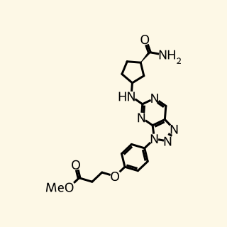 COC(=O)CCOc1ccc(-n2nnc3cnc(NC4CC[C@@H](C(N)=O)C4)nc32)cc1